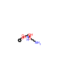 NCCCCCOC(=O)NC(CO)COC(=O)OCc1ccccc1